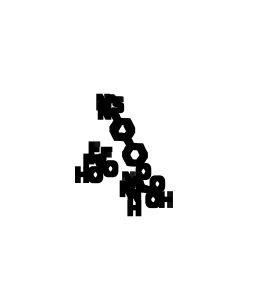 O=C(O)C(F)(F)F.O=C(O)c1[nH]nnc1OC1CCC(c2ccc(-c3nncs3)cc2)CC1